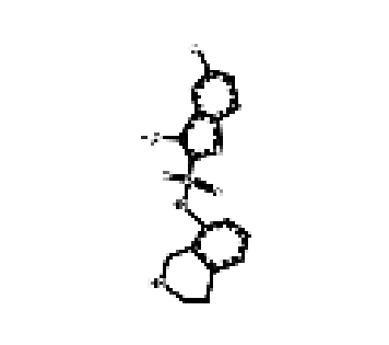 Cc1c(S(=O)(=O)Nc2cccc3c2CNCC3)sc2ccc(Cl)cc12